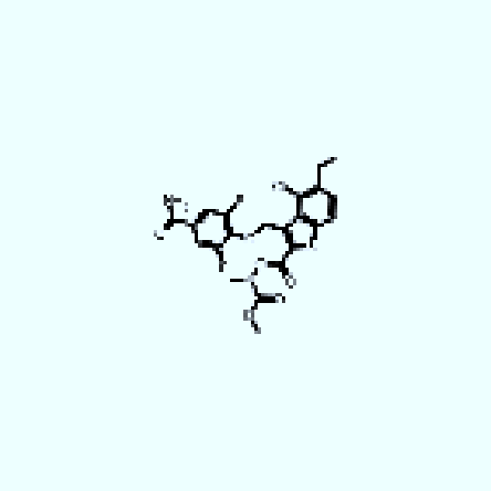 CCc1ccc2sc(C(=O)ON(C)C(=O)OC)c(COc3c(F)cc(C(N)=O)cc3F)c2c1Cl